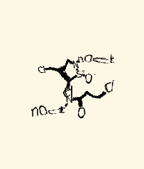 CCCCCCCCN1CC(Cl)=C(Cl)[S+]1[O-].CCCCCCCCNC(=O)CCCl